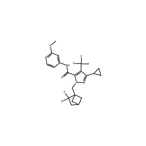 CSc1cc(NC(=O)c2c(C(F)(F)F)c(C3CC3)nn2CC23CC(CC2(F)F)C3)ccn1